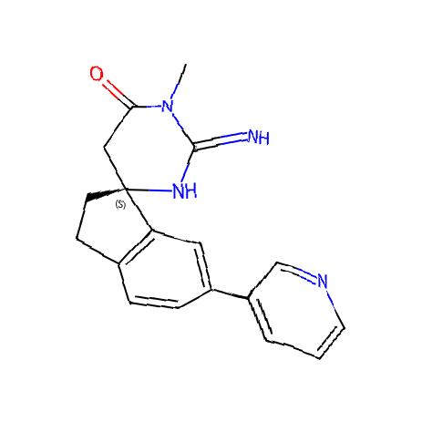 CN1C(=N)N[C@@]2(CCc3ccc(-c4cccnc4)cc32)CC1=O